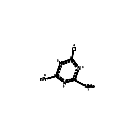 CCCc1nc(Cl)nc(NC)n1